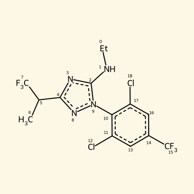 CCNc1nc(C(C)C(F)(F)F)nn1-c1c(Cl)cc(C(F)(F)F)cc1Cl